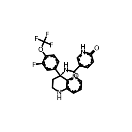 O=C(N[C@]1(c2ccc(OC(F)(F)F)c(F)c2)CCNc2cccnc21)c1ccc(=O)[nH]c1